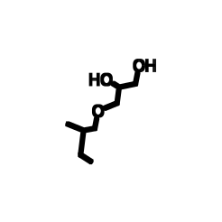 CCC(C)COCC(O)CO